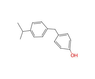 CC(C)c1ccc(Cc2ccc(O)cc2)cc1